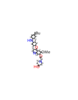 COc1cc2c(Oc3ccc(Nc4ccc(C(C)(C)C)cc4)cc3)ccnc2cc1OCCN1CCC(O)CC1